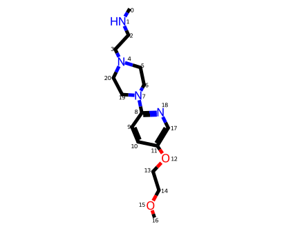 CNCCN1CCN(c2ccc(OCCOC)cn2)CC1